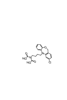 O=C(O)N(CCCCN1c2cc(Cl)ccc2COc2ccccc21)C(=O)O